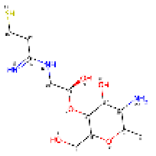 CC1OC(CO)C(O[C@H](O)CNC(=N)CCS)C(O)C1N